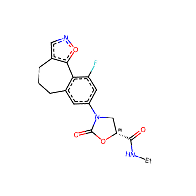 CCNC(=O)[C@H]1CN(c2cc(F)c3c(c2)CCCc2cnoc2-3)C(=O)O1